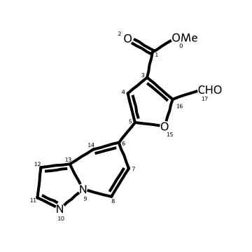 COC(=O)c1cc(-c2ccn3nccc3c2)oc1C=O